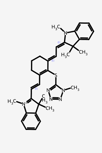 CN1/C(=C/C=C2\CCCC(/C=C/C3=[N+](C)c4ccccc4C3(C)C)=C2Sc2nnnn2C)C(C)(C)c2ccccc21